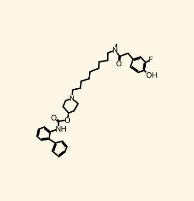 CN(CCCCCCCCCN1CCC(OC(=O)Nc2ccccc2-c2ccccc2)CC1)C(=O)Cc1ccc(O)c(F)c1